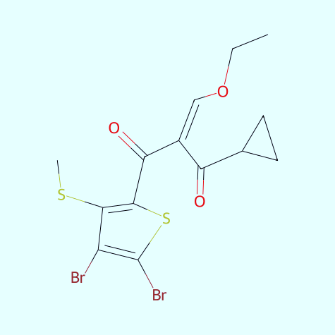 CCOC=C(C(=O)c1sc(Br)c(Br)c1SC)C(=O)C1CC1